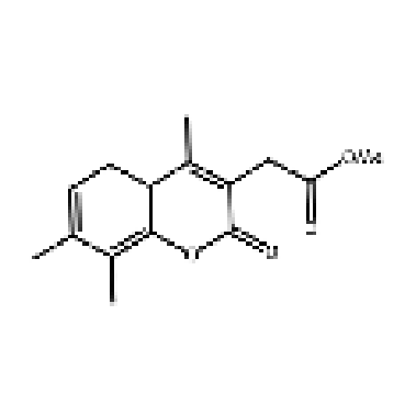 COC(=O)CC1=C(C)C2CC=C(C)C(C)=C2OC1=O